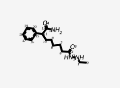 CCNNC(=O)CCCCCC(C(N)=O)c1ccccc1